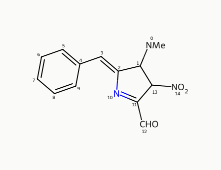 CNC1C(=Cc2ccccc2)N=C(C=O)C1[N+](=O)[O-]